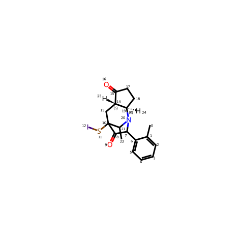 Cc1ccccc1C1C(=O)C2(SI)C[C@@H]3C(=O)CC[C@H]3N1C2C